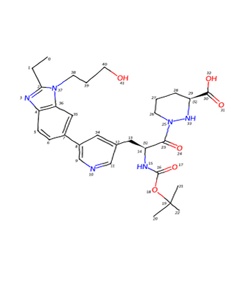 CCc1nc2ccc(-c3cncc(C[C@H](NC(=O)OC(C)(C)C)C(=O)N4CCC[C@@H](C(=O)O)N4)c3)cc2n1CCCO